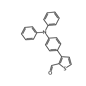 O=Cc1sccc1-c1ccc(N(c2ccccc2)c2ccccc2)cc1